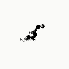 COc1cccc(C2CC(=Cc3ccc4c(C=Cc5ccc(CN6CCCCC6)cc5)n[nH]c4c3)C(=O)N2)c1